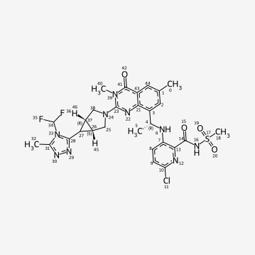 Cc1cc([C@@H](C)Nc2ccc(Cl)nc2C(=O)NS(C)(=O)=O)c2nc(N3C[C@@H]4C(c5nnc(C)n5C(F)F)[C@@H]4C3)n(C)c(=O)c2c1